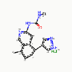 CCNC(=O)Nc1cc2c(-c3cn[nH]c3)ccc(C)c2cn1.Cl